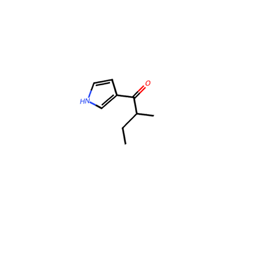 CCC(C)C(=O)c1cc[nH]c1